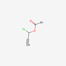 C#CC(Cl)OC(=O)[CH]C